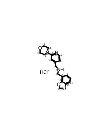 Cl.c1cc(CNCc2ccnc(N3CCOCC3)c2)c2c(c1)OCO2